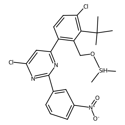 C[SiH](C)OCc1c(-c2cc(Cl)nc(-c3cccc([N+](=O)[O-])c3)n2)ccc(Cl)c1C(C)(C)C